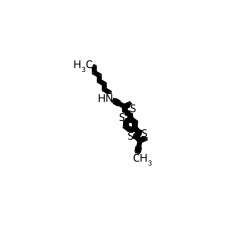 CC#Cc1csc2c1sc1cc3sc4c(C#CNCCCCCCCC)csc4c3cc12